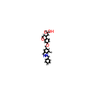 Cc1cc(COc2ccc3c(c2)OCCC3CC(=O)O)cc2cnn(Cc3ccccc3)c12